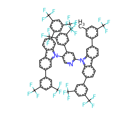 Cc1cc(-c2ccc3c4ccc(-c5cc(C(F)(F)F)cc(C(F)(F)F)c5)cc4n(-c4cc(-c5cc(C(F)(F)F)cc(C(F)(F)F)c5)c(-n5c6cc(-c7cc(C(F)(F)F)cc(C(F)(F)F)c7)ccc6c6ccc(-c7cc(C(F)(F)F)cc(C(F)(F)F)c7)cc65)cn4)c3c2)cc(C(F)(F)F)c1